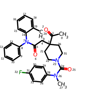 CC(=O)C1(CC(=O)N(c2ccccc2)c2ccccc2C)CCN(C(=O)N(C)c2ccc(F)cc2)CC1